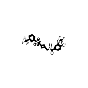 CC(C)(C1CC(CNC(=O)c2ccc(Cl)c(OC(F)(F)F)c2)C1)S(=O)(=O)c1cccc(C(F)(F)F)c1